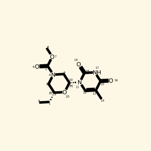 CC[C@@H]1CN(C(=O)OC)C[C@H](n2cc(C)c(=O)[nH]c2=O)O1